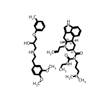 C=CCN1C[C@H](C(=O)N(CCCN(C)C)C(=O)NCC)C[C@@H]2c3cccc4[nH]cc(c34)C[C@H]21.COc1ccc(CCNCC(O)COc2cccc(C)c2)cc1OC